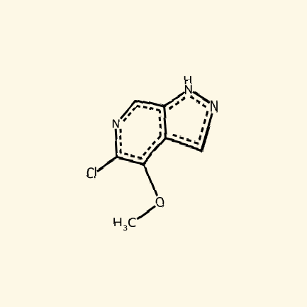 COc1c(Cl)ncc2[nH]ncc12